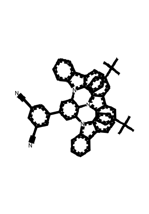 CC(C)(C)c1ccc2c(c1)c1cc(C(C)(C)C)ccc1n2-c1c(-n2c3ccccc3c3ccccc32)cc(-c2cc(C#N)cc(C#N)c2)cc1-n1c2ccccc2c2ccccc21